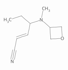 CCC(C=CC#N)N(C)C1COC1